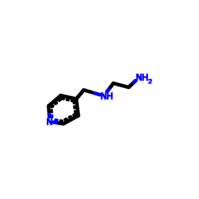 NCCNCc1ccncc1